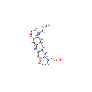 OCCN1CCOc2cc3c(cc21)Oc1cc2c(cc1=N3)OCC[N+]=2CCF